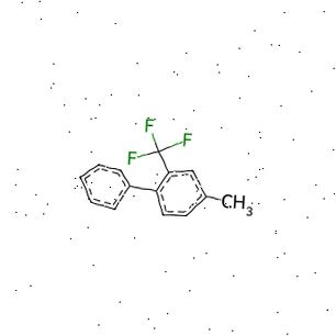 Cc1ccc(-c2ccccc2)c(C(F)(F)F)c1